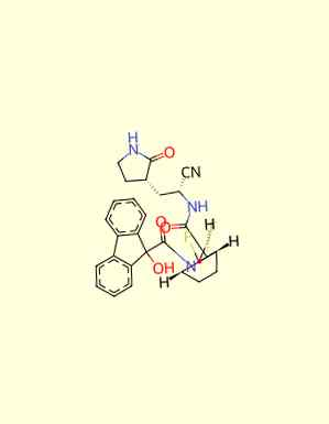 N#C[C@@H](C[C@@H]1CCNC1=O)NC(=O)[C@H]1[C@@H]2CC[C@@H](CC2(F)F)N1C(=O)C1(O)c2ccccc2-c2ccccc21